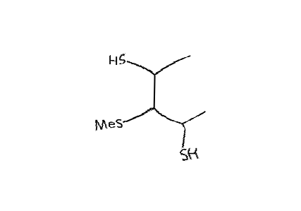 CSC(C(C)S)C(C)S